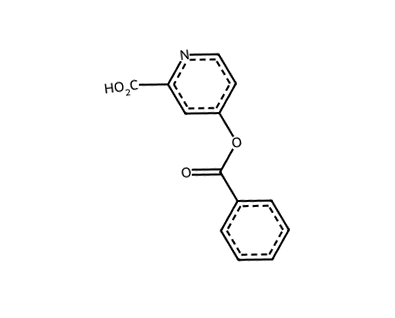 O=C(Oc1ccnc(C(=O)O)c1)c1ccccc1